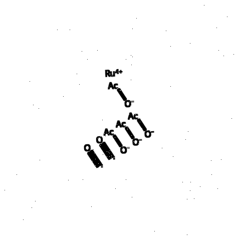 CC(=O)[O-].CC(=O)[O-].CC(=O)[O-].CC(=O)[O-].[C]=O.[C]=O.[Ru+4]